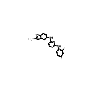 Cc1cc2cc(Nc3ccnc(Nc4ccc(F)cc4F)n3)ccc2[nH]1